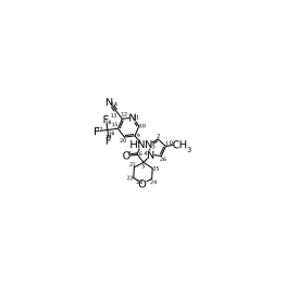 Cc1cnn(C2(C(=O)Nc3cnc(C#N)c(C(F)(F)F)c3)CCOCC2)c1